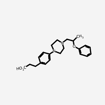 CC(CN1CCN(c2ccc(CCC(=O)O)cc2)CC1)Oc1ccccc1